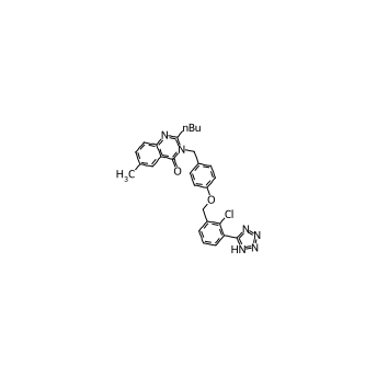 CCCCc1nc2ccc(C)cc2c(=O)n1Cc1ccc(OCc2cccc(-c3nnn[nH]3)c2Cl)cc1